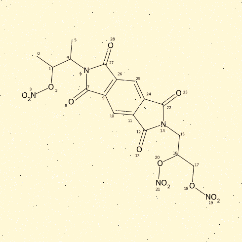 CC(O[N+](=O)[O-])C(C)n1c(=O)c2cc3c(=O)n(CC(CO[N+](=O)[O-])O[N+](=O)[O-])c(=O)c3cc2c1=O